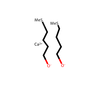 CSCCCC[O-].CSCCCC[O-].[Ca+2]